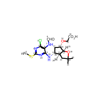 CCCSc1nc(Cl)c(NC=O)c(N[C@@H]2C[C@H](OCC(=O)O)[C@H]3OC(C)(C)C[C@H]32)n1